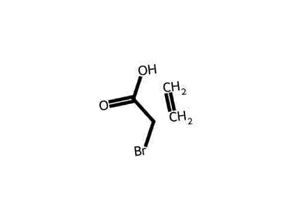 C=C.O=C(O)CBr